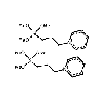 CO[Si](CCC[n+]1ccccc1)(OC)OC.CO[Si](CCC[n+]1ccccc1)(OC)OC